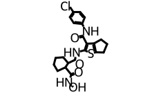 O=C(Nc1ccc(Cl)cc1)c1c(NC(=O)C2CCCCC2C(=O)NO)sc2c1CCC2